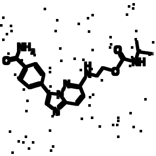 CC(C)NC(=O)OCCNc1ccc2ncc(-c3ccc(C(N)=O)cc3)n2n1